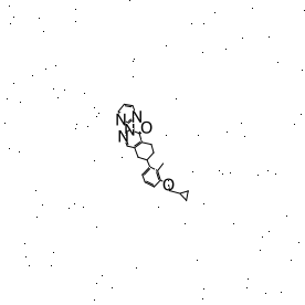 Cc1c(OCC2CC2)cccc1C1CCc2c(cnn(-c3ncccn3)c2=O)C1